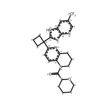 O=C([C@@H]1CCCCO1)N1CCCc2nc(C3(c4nc5ncc(C(F)(F)F)cc5[nH]4)CCC3)ccc21